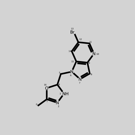 CC1=NNC(Cn2ncc3ncc(Br)cc32)O1